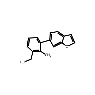 Cc1c(CO)cccc1-c1ccc2ccoc2c1